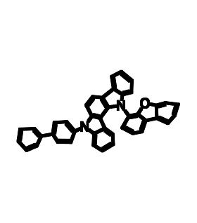 c1ccc(-c2ccc(-n3c4ccccc4c4c3ccc3c5ccccc5n(-c5cccc6c5oc5ccccc56)c34)cc2)cc1